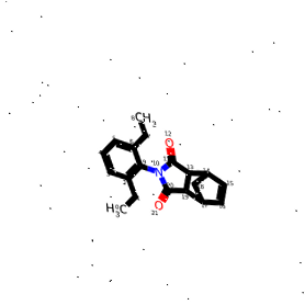 CCc1cccc(CC)c1N1C(=O)C2C3C=CC(C3)C2C1=O